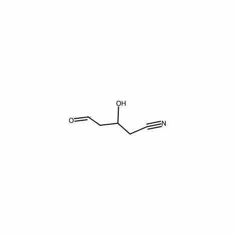 N#CCC(O)C[C]=O